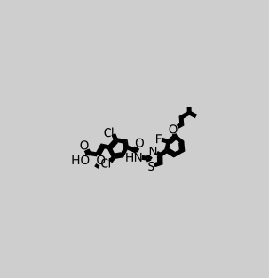 CO/C(=C\c1c(Cl)cc(C(=O)Nc2nc(-c3cccc(OCCC(C)C)c3F)cs2)cc1Cl)C(=O)O